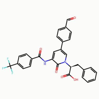 O=Cc1ccc(-c2cc(NC(=O)c3ccc(C(F)(F)F)cc3)c(=O)n([C@@H](Cc3ccccc3)C(=O)O)c2)cc1